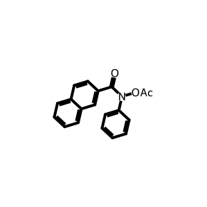 CC(=O)ON(C(=O)c1ccc2ccccc2c1)c1ccccc1